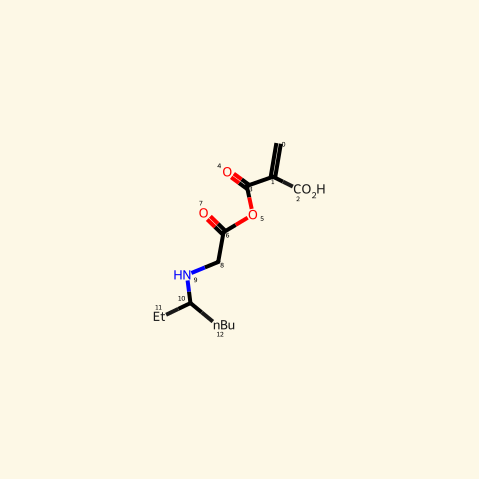 C=C(C(=O)O)C(=O)OC(=O)CNC(CC)CCCC